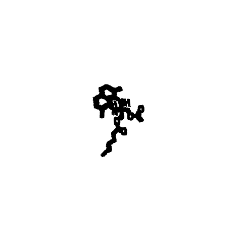 CCCCCC(=O)OCC1(COC(C)=O)Nc2c(C)ccc3ccc(C)c(c23)N1